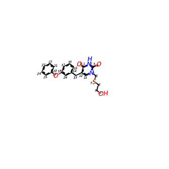 O=c1[nH]c(=O)n(CSCCO)cc1Cc1cccc(Oc2ccccc2)c1